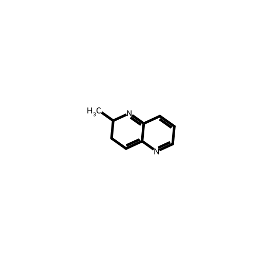 CC1CC=c2ncccc2=N1